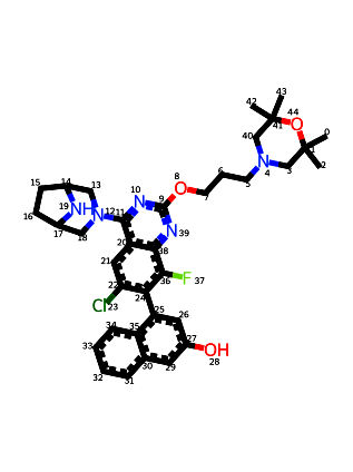 CC1(C)CN(CCCOc2nc(N3CC4CCC(C3)N4)c3cc(Cl)c(-c4cc(O)cc5ccccc45)c(F)c3n2)CC(C)(C)O1